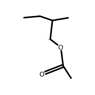 CCC(C)[CH]OC(C)=O